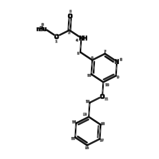 CCCCOC(=O)NCc1cncc(OCc2ccccc2)c1